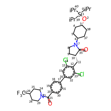 CC(C)[Si](O[C@H]1CC[C@H](N2CC[C@@H](Cc3c(Cl)cc(-c4ccc(C(=O)N5CCC(C(F)(F)F)CC5)cc4)cc3Cl)C2=O)CC1)(C(C)C)C(C)C